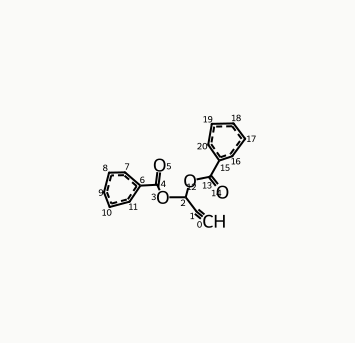 C#CC(OC(=O)c1ccccc1)OC(=O)c1ccccc1